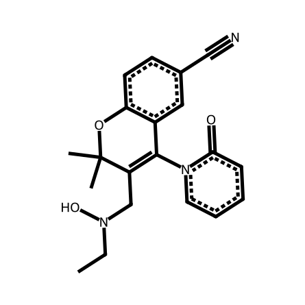 CCN(O)CC1=C(n2ccccc2=O)c2cc(C#N)ccc2OC1(C)C